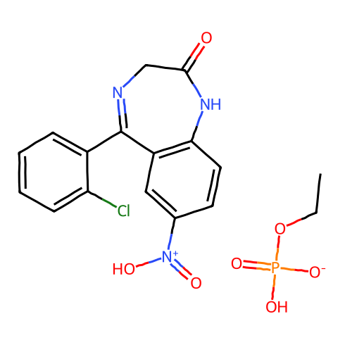 CCOP(=O)([O-])O.O=C1CN=C(c2ccccc2Cl)c2cc([N+](=O)O)ccc2N1